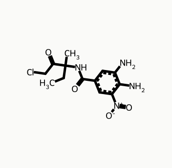 CCC(C)(NC(=O)c1cc(N)c(N)c([N+](=O)[O-])c1)C(=O)CCl